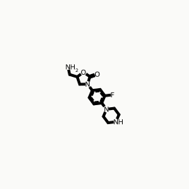 NCC1CN(c2ccc(N3CCNCC3)c(F)c2)C(=O)O1